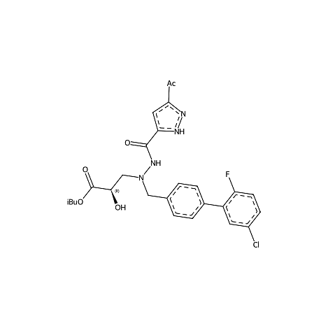 CC(=O)c1cc(C(=O)NN(Cc2ccc(-c3cc(Cl)ccc3F)cc2)C[C@@H](O)C(=O)OCC(C)C)[nH]n1